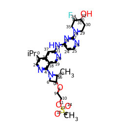 CC(C)c1cnc(N2C[C@H](OCCOS(C)(=O)=O)[C@H]2C)c2cnc(Nc3ccnc(N4CC[C@@H](O)[C@@H](F)C4)n3)cc12